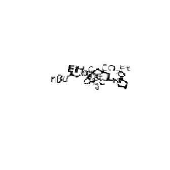 CCCCC(CC)COC(=O)C(C)(CC)CC(C)(CC(C)N1CCCC1=O)C(=O)OCC